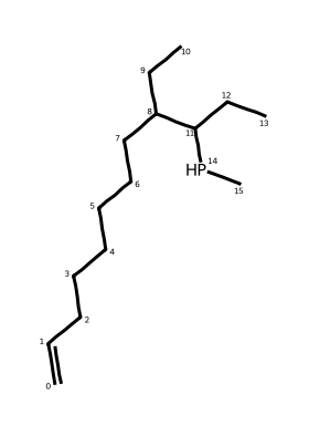 C=CCCCCCCC(CC)C(CC)PC